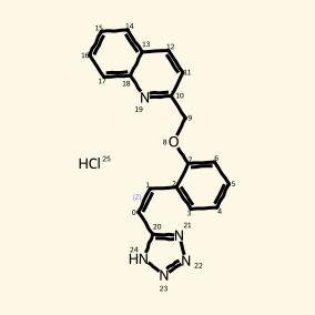 C(=C/c1ccccc1OCc1ccc2ccccc2n1)/c1nnn[nH]1.Cl